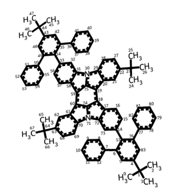 CC(C)(C)c1cc(-c2ccccc2)c(-c2ccc3c4c5c6cc(C(C)(C)C)ccc6n6c7cc(-c8c(-c9ccccc9)cc(C(C)(C)C)cc8-c8ccccc8)ccc7c(c7c8cc(C(C)(C)C)ccc8n(c3c2)c74)c56)c(-c2ccccc2)c1